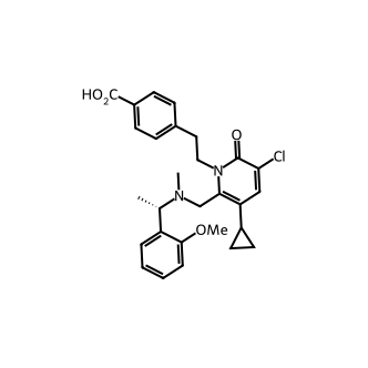 COc1ccccc1[C@H](C)N(C)Cc1c(C2CC2)cc(Cl)c(=O)n1CCc1ccc(C(=O)O)cc1